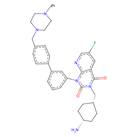 CC(C)N1CCN(Cc2ccc(-c3cccc(-n4c(=O)n(C[C@H]5CC[C@@H](N)CC5)c(=O)c5cc(F)cnc54)c3)cc2)CC1